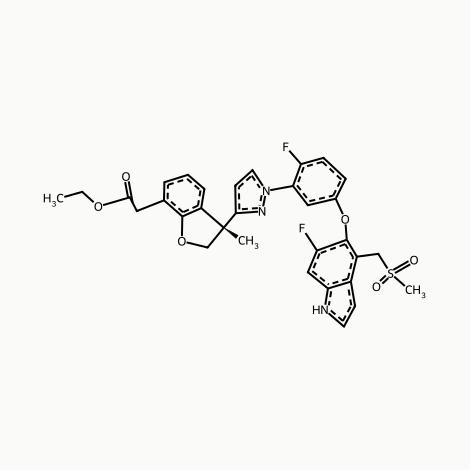 CCOC(=O)Cc1cccc2c1OC[C@@]2(C)c1ccn(-c2cc(Oc3c(F)cc4[nH]ccc4c3CS(C)(=O)=O)ccc2F)n1